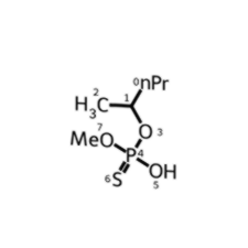 CCCC(C)OP(O)(=S)OC